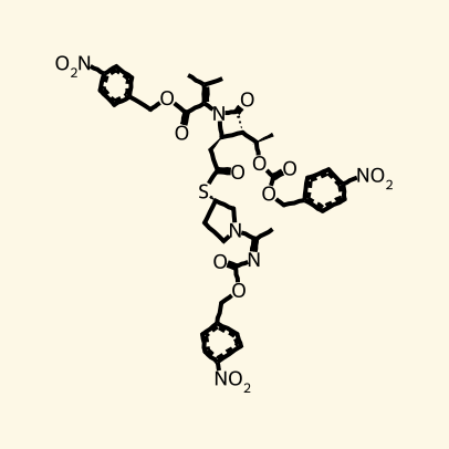 CC(=NC(=O)OCc1ccc([N+](=O)[O-])cc1)N1CC[C@H](SC(=O)C[C@@H]2[C@@H]([C@@H](C)OC(=O)OCc3ccc([N+](=O)[O-])cc3)C(=O)N2C(C(=O)OCc2ccc([N+](=O)[O-])cc2)=C(C)C)C1